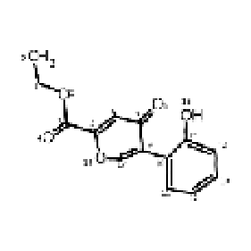 CCOC(=O)c1cc(=O)c(-c2ccccc2O)co1